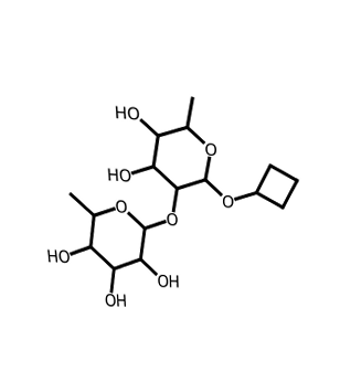 CC1OC(OC2C(OC3CCC3)OC(C)C(O)C2O)C(O)C(O)C1O